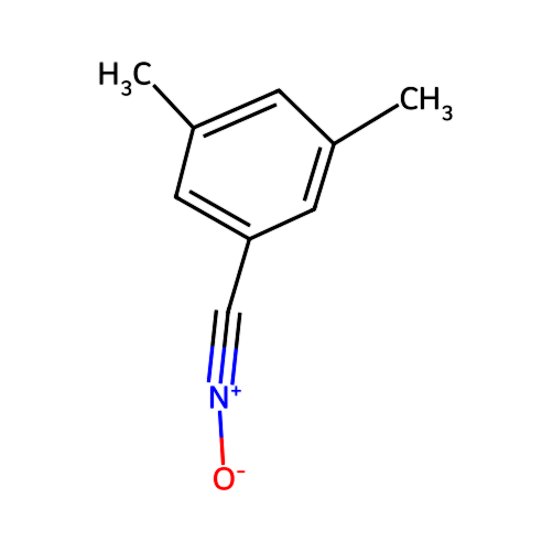 Cc1cc(C)cc(C#[N+][O-])c1